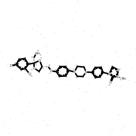 CC[C@@H](C)n1ncn(-c2ccc(N3CCN(c4ccc(OC[C@@H]5CO[C@@](CN)(c6ccc(Cl)cc6Cl)O5)cc4)CC3)cc2)c1=O